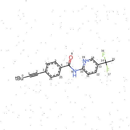 CC(C)(C)C#Cc1ccc(C(=O)Nc2ccc(C(C)(F)F)cn2)cc1